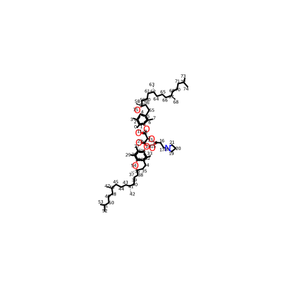 Cc1c(C)c2c(c(C)c1OC(=O)C(OC(=O)CCN1CCC1)C(=O)Oc1c(C)c(C)c3c(c1C)CC[C@@](C)(CCC[C@H](C)CCC[C@H](C)CCCC(C)C)O3)CC[C@@](C)(CCC[C@H](C)CCC[C@H](C)CCCC(C)C)O2